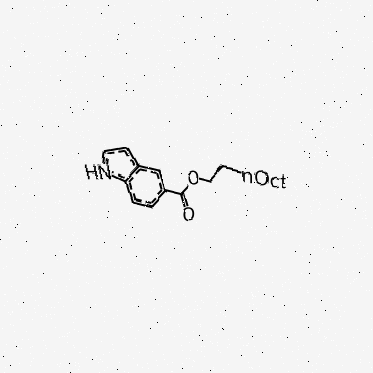 CCCCCCCCCCOC(=O)c1ccc2[nH]ccc2c1